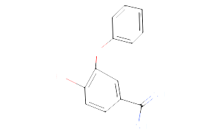 N=C(N)c1ccc(O)c(Oc2ccccc2)c1